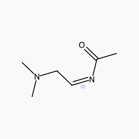 CC(=O)/N=C\CN(C)C